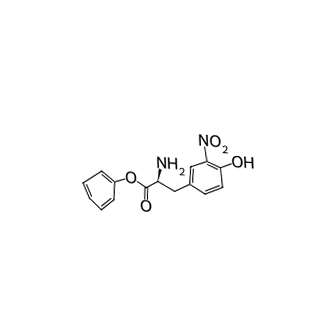 N[C@@H](Cc1ccc(O)c([N+](=O)[O-])c1)C(=O)Oc1ccccc1